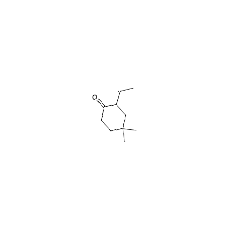 C[CH]C1CC(C)(C)CCC1=O